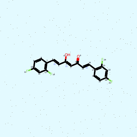 O=C(/C=C(O)/C=C/c1ccc(F)cc1F)/C=C/c1ccc(F)cc1F